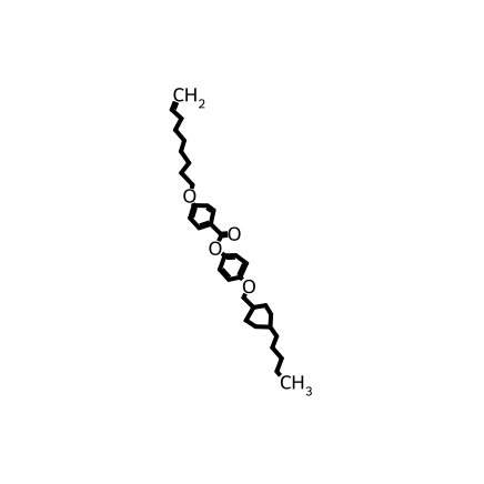 C=CCCCCCCCOc1ccc(C(=O)Oc2ccc(OCC3CCC(CCCCC)CC3)cc2)cc1